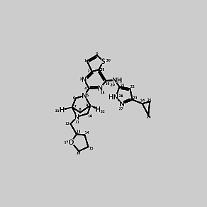 c1cc2nc(N3C[C@@H]4C[C@H]3CN4CC3CCCO3)nc(Nc3cc(C4CC4)n[nH]3)c2s1